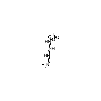 NCCCNCCNCCNC(=O)OC(=O)I